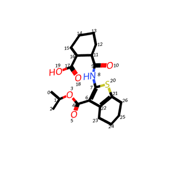 CC(C)OC(=O)c1c(NC(=O)C2CCCCC2C(=O)O)sc2c1CCCC2